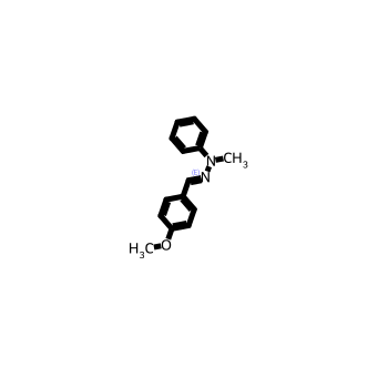 COc1ccc(/C=N/N(C)c2ccccc2)cc1